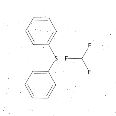 FC(F)F.c1ccc(Sc2ccccc2)cc1